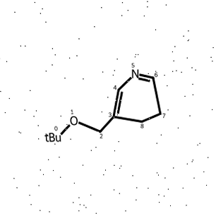 CC(C)(C)OCC1=CN=CCC1